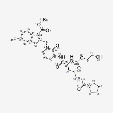 CC(C)(C)OC(=O)n1c(Cn2cccc(NC(=O)[C@H](CC/C=C/C(=O)N3CCCC3)NC(=O)OCCO)c2=O)cc2cc(F)ccc21